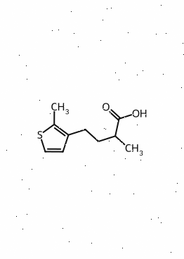 Cc1sccc1CCC(C)C(=O)O